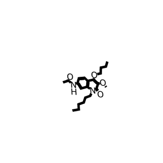 CCCCCCn1c(=O)c(OC)c(OCCCC)c2ccc(NC(C)=O)cc21